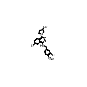 COc1ccc(CNc2nnc(N3CCC(O)C3)c3ccc(Cl)cc23)cc1Cl